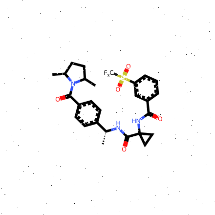 CC1CCC(C)N1C(=O)c1ccc([C@@H](C)NC(=O)C2(NC(=O)c3cccc(S(=O)(=O)C(F)(F)F)c3)CC2)cc1